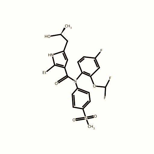 CCc1[nH]c(C[C@H](C)O)cc1C(=O)N(c1ccc(S(C)(=O)=O)cc1)c1ccc(F)cc1OC(F)F